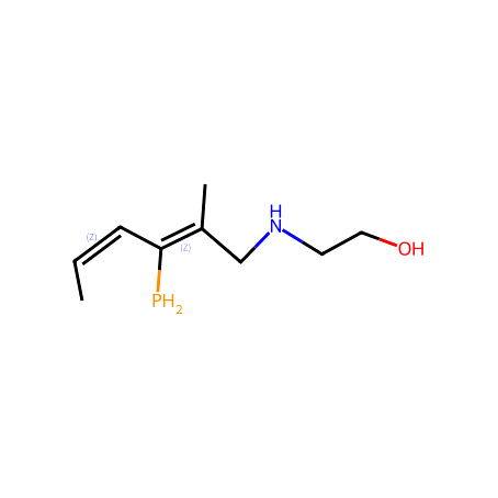 C/C=C\C(P)=C(/C)CNCCO